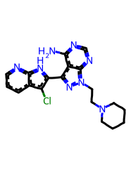 Nc1ncnc2c1c(-c1[nH]c3ncccc3c1Cl)nn2CCN1CCCCC1